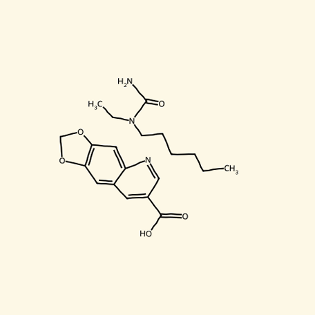 CCCCCCN(CC)C(N)=O.O=C(O)c1cnc2cc3c(cc2c1)OCO3